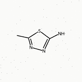 Cc1nnc([NH])s1